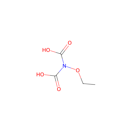 CCON(C(=O)O)C(=O)O